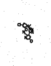 COc1cnc(C#N)c(-c2cn(C(C)n3ccc(Cl)cc3=O)nn2)c1